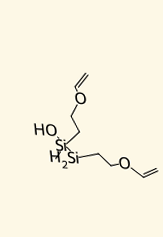 C=COCC[SiH2][Si](C)(O)CCOC=C